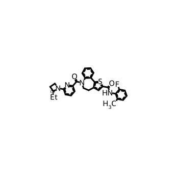 CC[C@H]1CCN1c1cccc(C(=O)N2CCc3cc(C(=O)Nc4c(C)cccc4F)sc3-c3ccccc32)n1